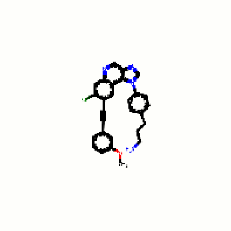 COc1cccc(C#Cc2cc3c(cc2Cl)ncc2ncn(-c4ccc(CCCN)cc4)c23)c1